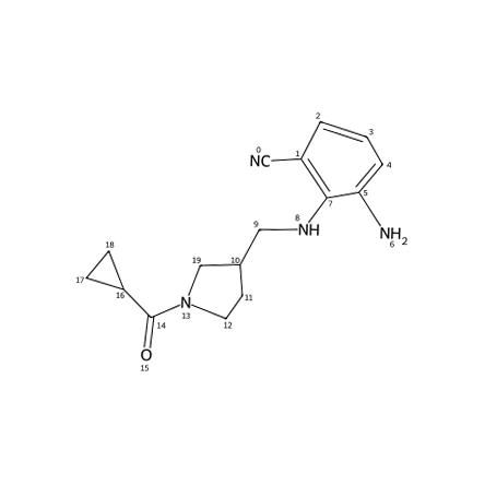 N#Cc1cccc(N)c1NCC1CCN(C(=O)C2CC2)C1